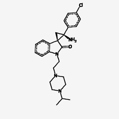 CC(C)N1CCN(CCN2C(=O)[C@]3(C[C@]3(N)c3ccc(Cl)cc3)c3ccccc32)CC1